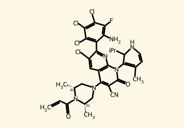 C=CC(=O)N1[C@H](C)CN(c2c(C#N)c(=O)n(C3=C(C)C=CNC3C(C)C)c3nc(-c4c(N)c(F)c(Cl)c(Cl)c4Cl)c(Cl)cc23)C[C@@H]1C